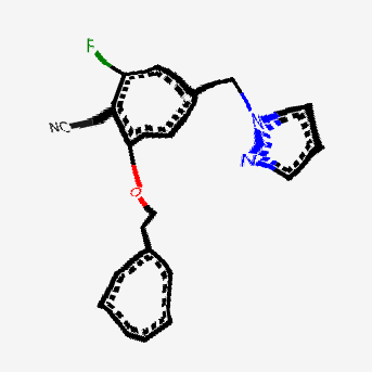 N#Cc1c(F)cc(Cn2cccn2)cc1OCc1ccccc1